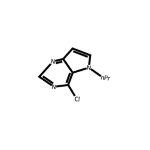 CCCn1ccc2ncnc(Cl)c21